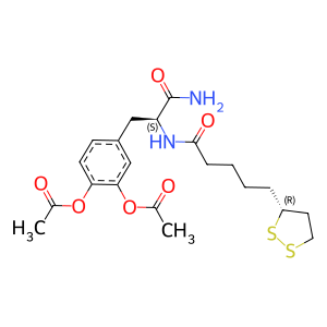 CC(=O)Oc1ccc(C[C@H](NC(=O)CCCC[C@@H]2CCSS2)C(N)=O)cc1OC(C)=O